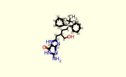 CC(C)(C)[Si](CCC(CO)Cc1nc2nc(N)[nH]c(=O)c2[nH]1)(c1ccccc1)c1ccccc1